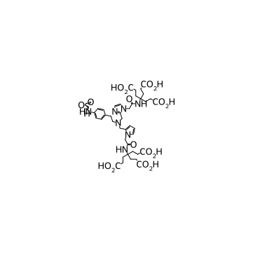 O=C(O)CCC(CCC(=O)O)(CCC(=O)O)NC(=O)Cn1cccc1CN(CCc1ccc(N[SH](=O)=O)cc1)Cc1nccn1CC(=O)NC(CCC(=O)O)(CCC(=O)O)CCC(=O)O